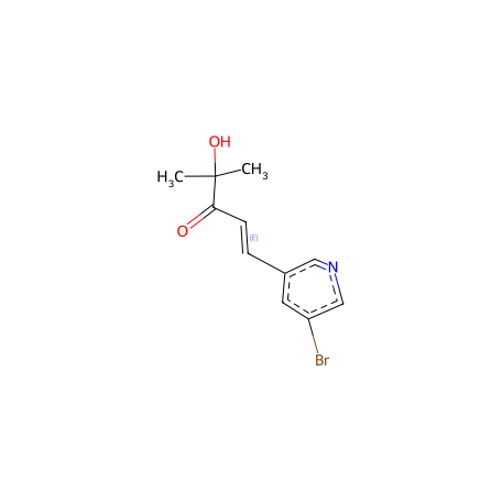 CC(C)(O)C(=O)/C=C/c1cncc(Br)c1